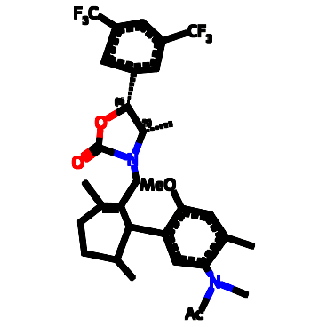 COc1cc(C)c(N(C)C(C)=O)cc1C1C(CN2C(=O)O[C@H](c3cc(C(F)(F)F)cc(C(F)(F)F)c3)[C@@H]2C)=C(C)CCC1C